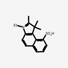 CC[N+]1=C(C)C(C)(C)c2c1ccc1cccc(S(=O)(=O)O)c21